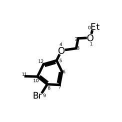 CCOCCOc1ccc(Br)c(C)c1